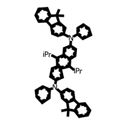 CC(C)c1c2ccc(N(c3ccccc3)c3ccc4c(c3)C(C)(C)c3ccccc3-4)cc2c(C(C)C)c2ccc(N(c3ccccc3)c3ccc4c(c3)C(C)(C)c3ccccc3-4)cc12